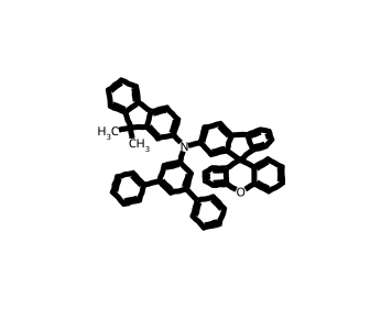 CC1(C)c2ccccc2-c2ccc(N(c3cc(-c4ccccc4)cc(-c4ccccc4)c3)c3ccc4c(c3)C3(c5ccccc5Oc5ccccc53)c3ccccc3-4)cc21